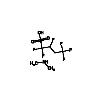 CNC.O=S(=O)(O)C(F)(F)C(F)CC(F)(F)F